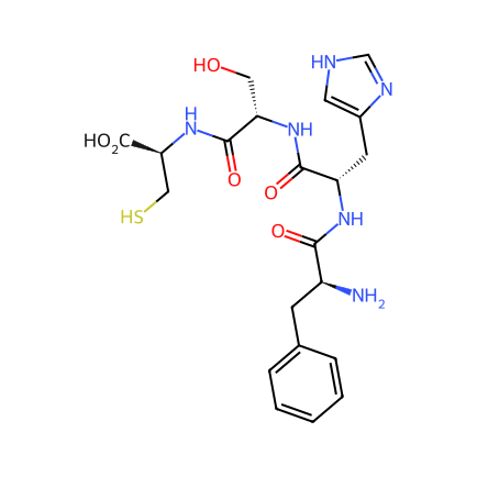 N[C@@H](Cc1ccccc1)C(=O)N[C@@H](Cc1c[nH]cn1)C(=O)N[C@@H](CO)C(=O)N[C@@H](CS)C(=O)O